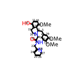 COc1ccc(CC2c3c(OC)ccc(O)c3CCN2CC(=O)NCc2ccccn2)cc1OC